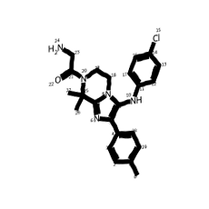 Cc1ccc(-c2nc3n(c2Nc2ccc(Cl)cc2)CCN(C(=O)CN)C3(C)C)cc1